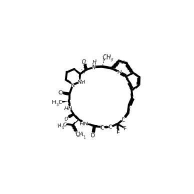 C=C(C)[C@@H]1NC(=O)CCC(F)(F)CC/C=C/c2ccc3ccc(nc3c2)[C@@H](C)NC(=O)[C@@H]2CCCN(N2)C(=O)[C@H](C)NC1=O